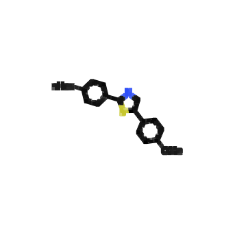 CCCCCCc1ccc(-c2ncc(-c3ccc(OC)cc3)s2)cc1